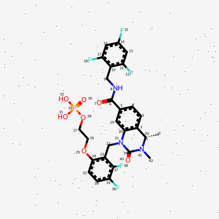 C[C@H]1c2ccc(C(=O)NCc3c(F)cc(F)cc3F)cc2N(Cc2c(OCCOP(=O)(O)O)ccc(F)c2F)C(=O)N1C